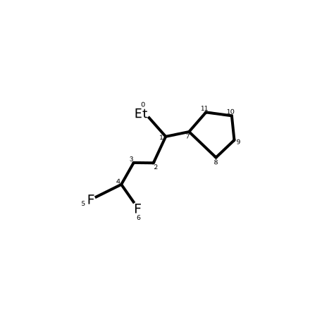 CCC(CCC(F)F)C1CCCC1